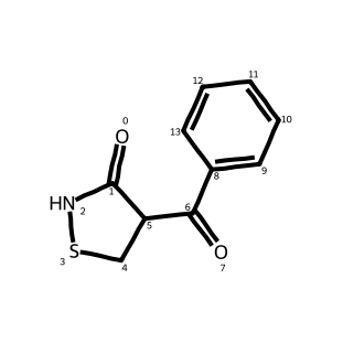 O=C1NSCC1C(=O)c1ccccc1